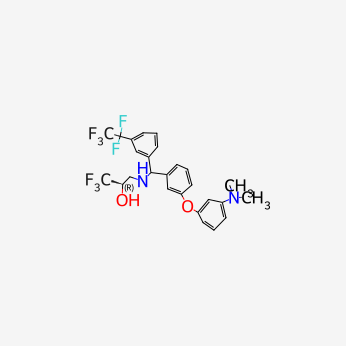 CN(C)c1cccc(Oc2cccc(C(NC[C@@H](O)C(F)(F)F)c3cccc(C(F)(F)C(F)(F)F)c3)c2)c1